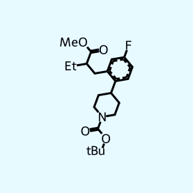 CCC(Cc1cc(F)ccc1C1CCN(C(=O)OC(C)(C)C)CC1)C(=O)OC